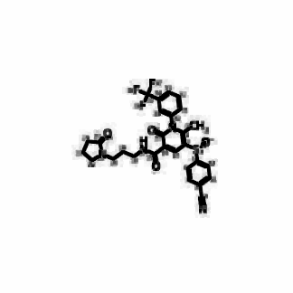 Cc1c([S+]([O-])c2ccc(C#N)cc2)cc(C(=O)NCCCN2CCCC2=O)c(=O)n1-c1cccc(C(F)(F)F)c1